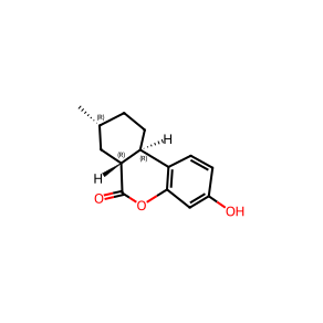 C[C@@H]1CC[C@H]2c3ccc(O)cc3OC(=O)[C@@H]2C1